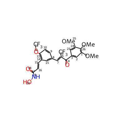 COc1cc(C(=O)/C(=C/c2ccc(OC(F)(F)F)c(/C=C/C(=O)NO)c2)C(F)(F)F)cc(OC)c1OC